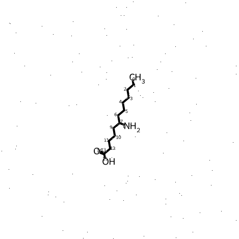 CCCCCCCC(N)CCCCC(=O)O